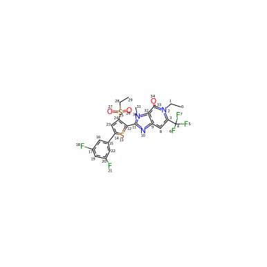 CCn1c(C(F)(F)F)cc2nc(-c3sc(-c4cc(F)cc(F)c4)cc3S(=O)(=O)CC)n(C)c2c1=O